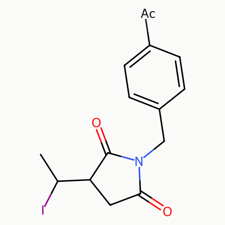 CC(=O)c1ccc(CN2C(=O)CC(C(C)I)C2=O)cc1